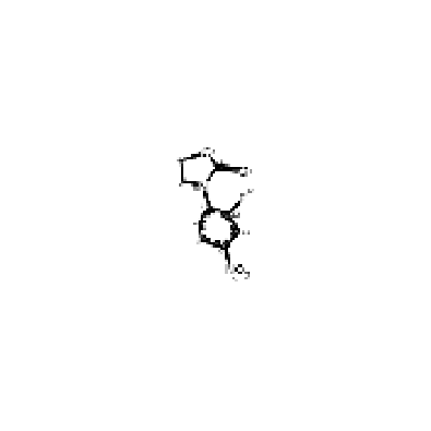 O=C1OCCN1c1ccc([N+](=O)[O-])cc1F